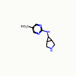 CCOC(=O)c1cnc(NC2C3CNCC32)nc1